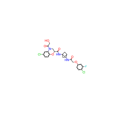 O=C(COc1ccc(Cl)c(F)c1)NC1CC2(NC(=O)C3CN(C(=O)CO)c4cc(Cl)ccc4O3)CC1C2